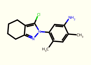 Cc1cc(C)c(-n2nc3c(c2Cl)CCCC3)cc1N